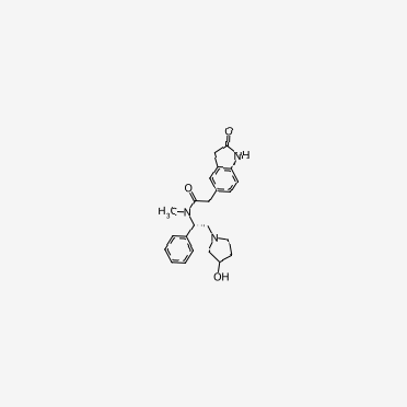 CN(C(=O)Cc1ccc2c(c1)CC(=O)N2)[C@H](CN1CCC(O)C1)c1ccccc1